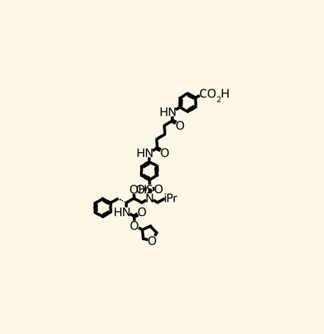 CC(C)CN(CC(O)[C@@H](Cc1ccccc1)NC(=O)OC1CCOC1)S(=O)(=O)c1ccc(NC(=O)CCCC(=O)Nc2ccc(C(=O)O)cc2)cc1